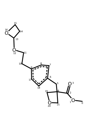 COC(=O)C1(Cc2ccc(CCOC3CCO3)cc2)COC1